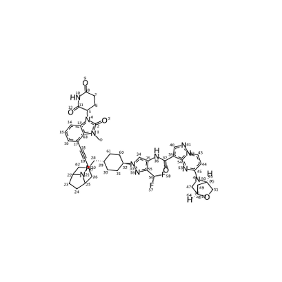 Cn1c(=O)n(C2CCC(=O)NC2=O)c2cccc(C#CCN3C4CCC3CN(C[C@H]3CC[C@H](n5cc(NC(=O)c6cnn7ccc(N8C[C@H]9C[C@@H]8CO9)nc67)c(C(F)F)n5)CC3)C4)c21